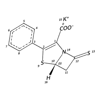 O=C([O-])C1=C(c2ccccc2)S[C@H]2CC(=S)N12.[K+]